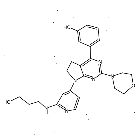 OCCCNc1cc(N2CCc3c(-c4cccc(O)c4)nc(N4CCOCC4)nc32)ccn1